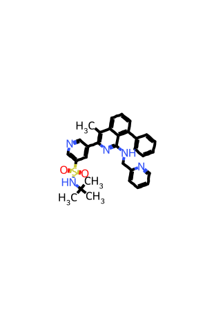 Cc1c(-c2cncc(S(=O)(=O)NC(C)(C)C)c2)nc(NCc2ccccn2)c2c(-c3ccccc3)cccc12